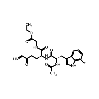 CCOC(=O)CNC(=O)[C@H](CCC(=O)C=N)NC(=O)[C@H](Cc1c[nH]c2c(F)cccc12)NC(C)=O